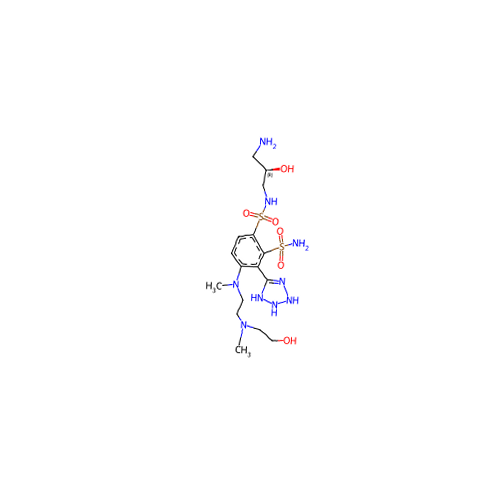 CN(CCO)CCN(C)c1ccc(S(=O)(=O)NC[C@H](O)CN)c(S(N)(=O)=O)c1C1=NNNN1